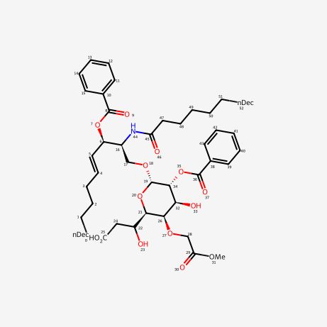 CCCCCCCCCCCCC/C=C/[C@@H](OC(=O)c1ccccc1)[C@H](CO[C@H]1O[C@H](C(O)CC(=O)O)[C@H](OCC(=O)OC)[C@H](O)[C@H]1OC(=O)c1ccccc1)NC(=O)CCCCCCCCCCCCCCC